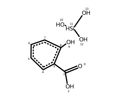 O=C(O)c1ccccc1O.O[SiH](O)O